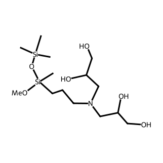 CO[Si](C)(CCCN(CC(O)CO)CC(O)CO)O[Si](C)(C)C